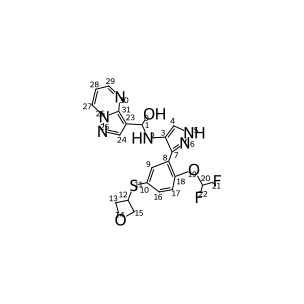 OC(Nc1c[nH]nc1-c1cc(SC2COC2)ccc1OC(F)F)c1cnn2cccnc12